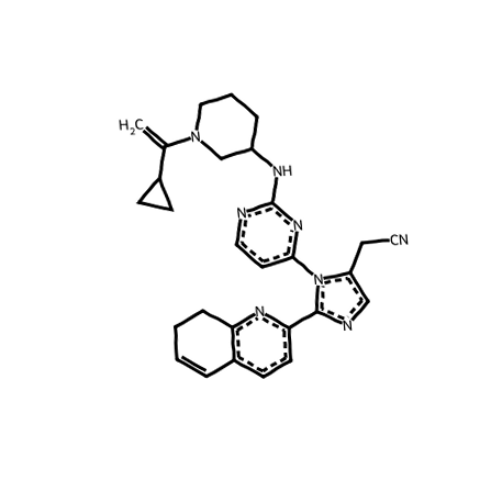 C=C(C1CC1)N1CCCC(Nc2nccc(-n3c(CC#N)cnc3-c3ccc4c(n3)CCC=C4)n2)C1